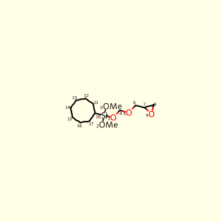 CO[Si](OC)(OCOCC1CO1)C1CCCCCCC1